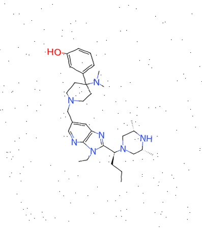 CCC[C@@H](c1nc2cc(CN3CCC(c4cccc(O)c4)(N(C)C)CC3)cnc2n1CC)N1C[C@@H](C)N[C@@H](C)C1